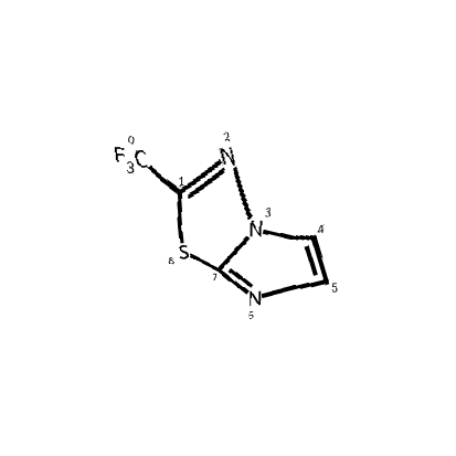 FC(F)(F)c1nn2ccnc2s1